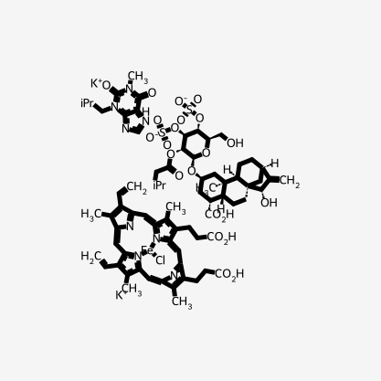 C=C1[C@@H]2CC[C@@H]3[C@]4(C)C[C@H](O[C@@H]5O[C@H](CO)[C@@H](OS(=O)(=O)[O-])[C@H](OS(=O)(=O)[O-])[C@H]5OC(=O)CC(C)C)C[C@@H](C(=O)O)[C@H]4CC[C@]3(C2)[C@H]1O.C=CC1=C(C)/C2=C/c3c(C=C)c(C)c4[n]3[Fe]([Cl])[n]3/c(c(C)c(CCC(=O)O)/c3=C/C3=NC(=C\4)/C(C)=C3CCC(=O)O)=C\C1=N2.CC(C)Cn1c(=O)n(C)c(=O)c2[nH]cnc21.[K+].[K+]